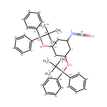 CC(C)(C)[Si](OC1CC(N=C=O)CC(O[Si](c2ccccc2)(c2ccccc2)C(C)(C)C)C1)(c1ccccc1)c1ccccc1